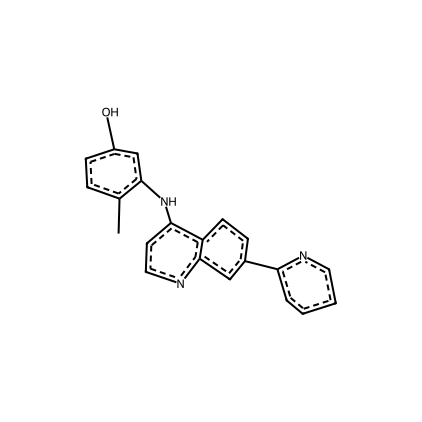 Cc1ccc(O)cc1Nc1ccnc2cc(-c3ccccn3)ccc12